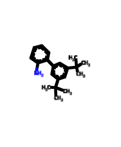 CC(C)(C)c1cc(-c2ccccc2N)cc(C(C)(C)C)c1